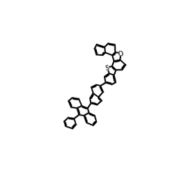 c1ccc(-c2c3ccccc3c(-c3ccc4cc(-c5ccc6c(c5)sc5c6ccc6oc7ccc8ccccc8c7c65)ccc4c3)c3ccccc23)cc1